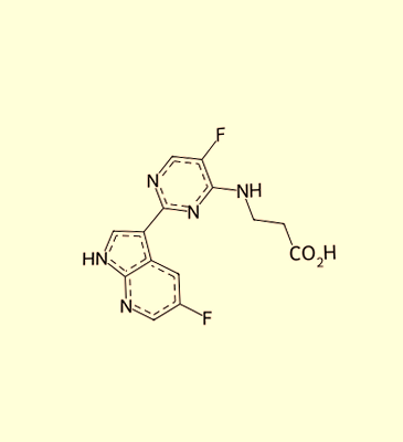 O=C(O)CCNc1nc(-c2c[nH]c3ncc(F)cc23)ncc1F